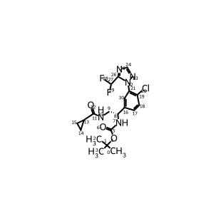 CC(C)(C)OC(=O)N[C@H](CNC(=O)C1CC1)c1ccc(Cl)c(-n2ncnc2C(F)F)c1